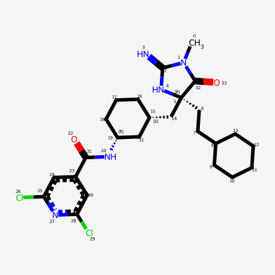 CN1C(=N)N[C@](CCC2CCCCC2)(C[C@H]2CCC[C@@H](NC(=O)c3cc(Cl)nc(Cl)c3)C2)C1=O